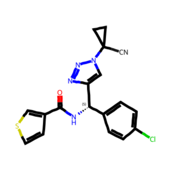 N#CC1(n2cc([C@@H](NC(=O)c3ccsc3)c3ccc(Cl)cc3)nn2)CC1